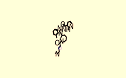 Cc1ncccc1C(=O)Nc1nc2cccc(C)c2n1C1CCCCN(C(=O)/C=C/CN(C)C)C1